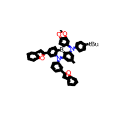 Cc1cc2c3c(c1)N(c1ccc(C(C)(C)C)cc1)c1cc4c(cc1B3c1ccc(-c3cc5ccccc5o3)cc1N2c1cccc(-c2cc3ccccc3o2)c1)OCO4